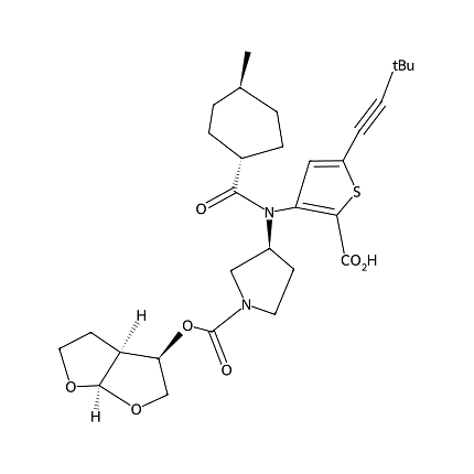 CC(C)(C)C#Cc1cc(N(C(=O)[C@H]2CC[C@H](C)CC2)[C@H]2CCN(C(=O)O[C@H]3CO[C@H]4OCC[C@H]43)C2)c(C(=O)O)s1